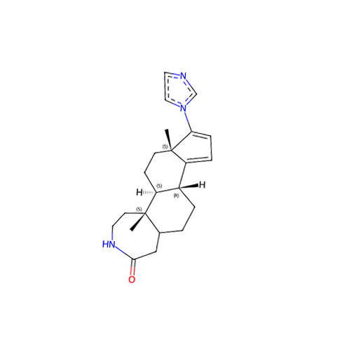 C[C@]12CC[C@H]3[C@@H](CCC4CC(=O)NCC[C@@]43C)C1=CC=C2n1ccnc1